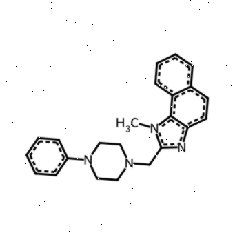 Cn1c(CN2CCN(c3ccccc3)CC2)nc2ccc3ccccc3c21